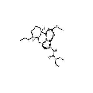 CCCN1CCC[C@@H]2c3cc(SC)cc4c3c(cn4NC(=O)N(CC)CC)C[C@H]21